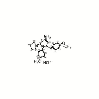 COc1ccc(NC2N=C(N)N=C(N3CCCC3)N2c2ccc(C)cc2)cc1.Cl